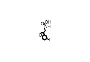 O=C(O)NCCc1coc2ccc(I)cc12